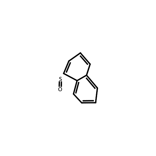 O=S.c1ccc2ccccc2c1